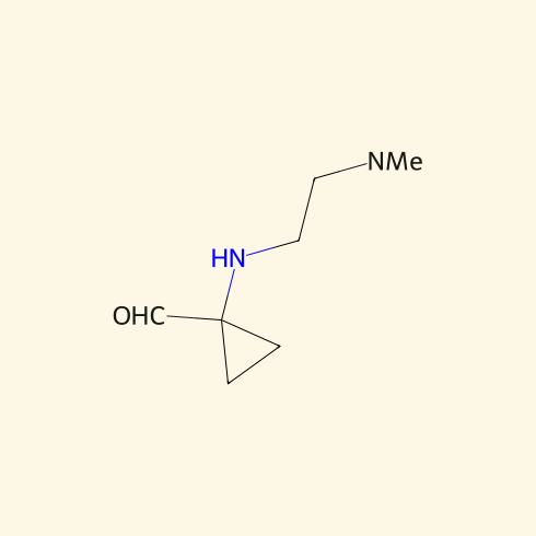 CNCCNC1(C=O)CC1